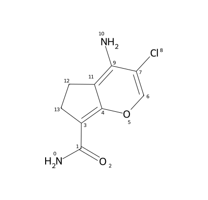 NC(=O)C1=C2OC=C(Cl)C(N)=C2CC1